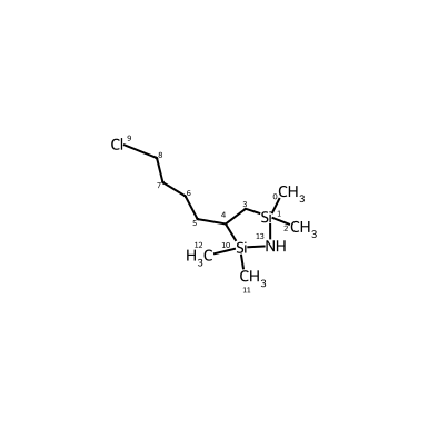 C[Si]1(C)CC(CCCCCl)[Si](C)(C)N1